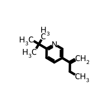 C=C(CC)c1ccc(C(C)(C)C)nc1